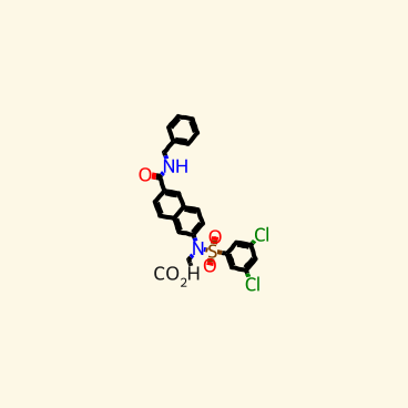 O=C(O)CN(c1ccc2cc(C(=O)NCc3ccccc3)ccc2c1)S(=O)(=O)c1cc(Cl)cc(Cl)c1